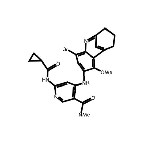 CNC(=O)c1cnc(NC(=O)C2CC2)cc1Nc1cc(Br)c2nc3cc(c2c1OC)CCC3